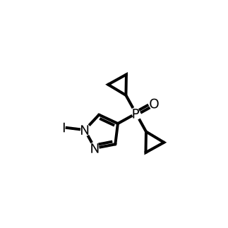 O=P(c1cnn(I)c1)(C1CC1)C1CC1